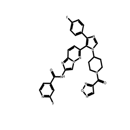 O=C(Nc1cn2nc(-c3c(-c4ccc(F)cc4)ncn3C3CCN(C(=O)c4cnon4)CC3)ccc2n1)c1ccnc(F)c1